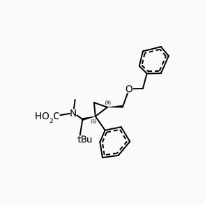 CN(C(=O)O)C(C(C)(C)C)[C@@]1(c2ccccc2)C[C@H]1COCc1ccccc1